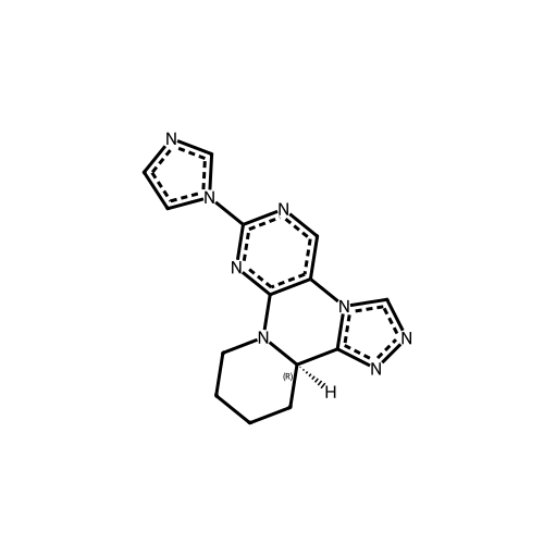 c1cn(-c2ncc3c(n2)N2CCCC[C@@H]2c2nncn2-3)cn1